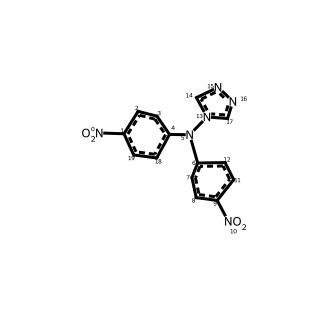 O=[N+]([O-])c1ccc(N(c2ccc([N+](=O)[O-])cc2)n2cnnc2)cc1